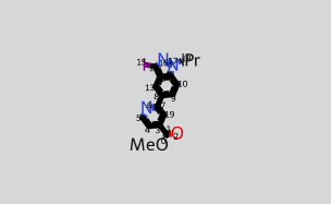 COC(=O)c1ccnc(-c2ccc3c(c2)c(I)nn3C(C)C)c1